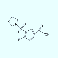 O=C(O)c1ccc(F)c(S(=O)(=O)N2CCCC2)c1